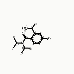 CC(O)c1cc(F)ccc1C(=O)N(C(C)C)C(C)C